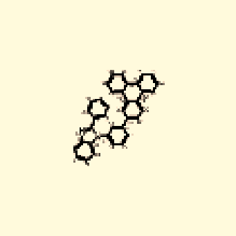 c1ccc(-c2nc3ccccc3n2-c2cccc(-c3ccc4c5ccccc5c5ccccc5c4c3)c2)cc1